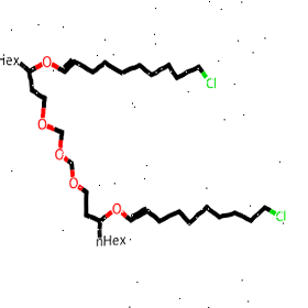 CCCCCCC(CCOCOCOCCC(CCCCCC)OC=CCCCCCCCCCl)OC=CCCCCCCCCCl